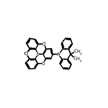 CC1(C)c2ccccc2N(c2cc3c4c(c2)Oc2cccc5c2B4c2c(cccc2O3)O5)c2ccccc21